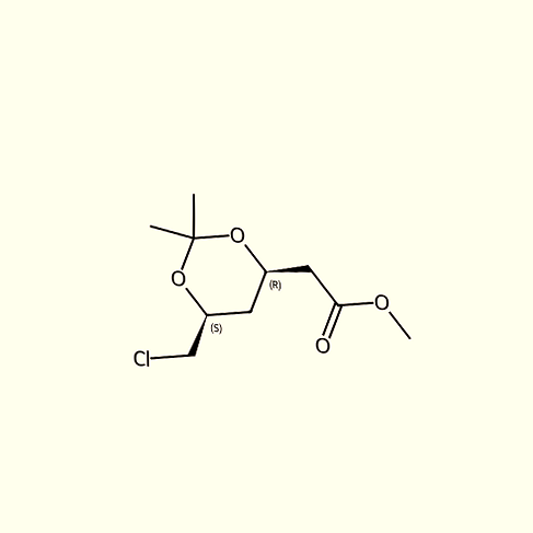 COC(=O)C[C@H]1C[C@@H](CCl)OC(C)(C)O1